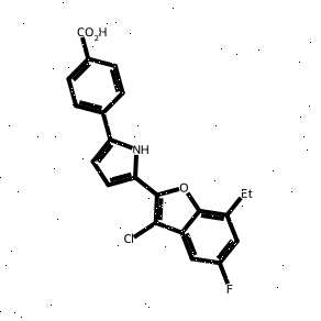 CCc1cc(F)cc2c(Cl)c(-c3ccc(-c4ccc(C(=O)O)cc4)[nH]3)oc12